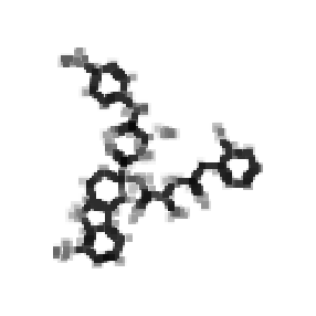 CCC(C)[C@H](NC(=O)Cc1ccccc1F)C(=O)N[C@]1(C(=O)NC(C(=O)Nc2ccc(OC)cc2)[C@@H](C)CC)CCc2[nH]c3c(C(F)(F)F)cccc3c2C1